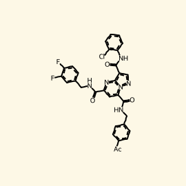 CC(=O)c1ccc(CNC(=O)c2cc(C(=O)NCc3ccc(F)c(F)c3)nc3c(C(=O)Nc4ccccc4Cl)cnn23)cc1